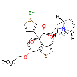 CCOC(=O)COc1ccc2cc(C[N@@+]3(C)[C@@H]4C=C[C@H]3C[C@H](OC(=O)C(O)(c3ccsc3)c3ccsc3)C4)ccc2c1.[Br-]